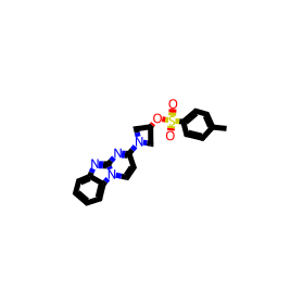 Cc1ccc(S(=O)(=O)OC2CN(c3ccn4c(n3)nc3ccccc34)C2)cc1